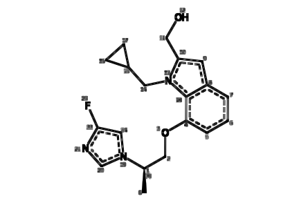 C[C@H](COc1cccc2cc(CO)n(CC3CC3)c12)n1cnc(F)c1